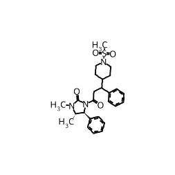 C[C@H]1[C@H](c2ccccc2)N(C(=O)CC(c2ccccc2)C2CCN(S(C)(=O)=O)CC2)C(=O)N1C